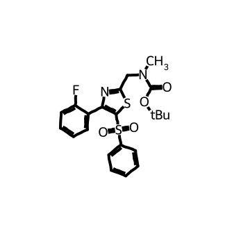 CN(Cc1nc(-c2ccccc2F)c(S(=O)(=O)c2ccccc2)s1)C(=O)OC(C)(C)C